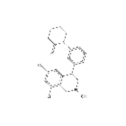 CN1Cc2c(Cl)cc(Cl)cc2C(c2cccc(N3CCCCC3=O)c2)C1